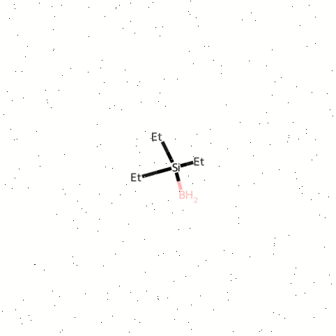 B[Si](CC)(CC)CC